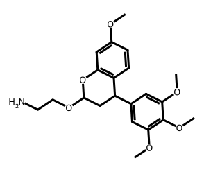 COc1ccc2c(c1)OC(OCCN)CC2c1cc(OC)c(OC)c(OC)c1